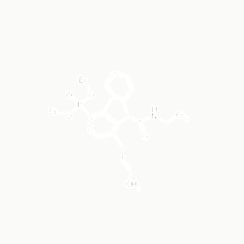 CC=CCc1ccc(P(=O)(OCC)OCC)c2c1C(C(=O)NCC(F)(F)F)c1ccccc1-2